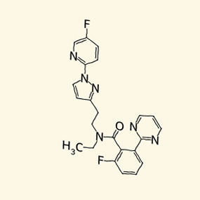 CCN(CCc1ccn(-c2ccc(F)cn2)n1)C(=O)c1c(F)cccc1-c1ncccn1